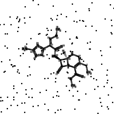 CCC1=C(C(=O)OC)N2C(=O)[C@@H](NC(=O)/C(=N\OC)c3csc(N)n3)[C@H]2SC1